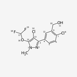 Cn1nc(-c2ccc(Cl)c(CO)c2)c(Cl)c1OC(F)F